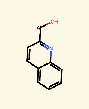 [OH][Al][c]1ccc2ccccc2n1